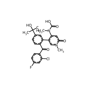 CN(C(=O)O)c1cc(=O)n(C)cc1-c1cc(C(C)(C)O)ccc1C(=O)c1ccc(F)cc1Cl